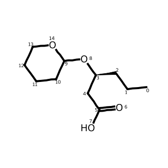 CCC[C@@H](CC(=O)O)OC1CCCCO1